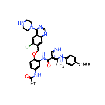 CCC(=O)Nc1ccc(OCc2cc3ncnc(N4CCNCC4)c3cc2Cl)c(NC(=O)/C(C=N)=C(/Nc2ccc(OC)cc2)C(F)(F)F)c1